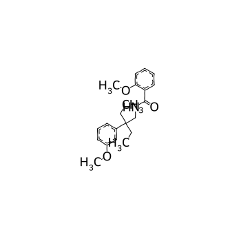 CCC(CC)(CNC(=O)c1ccccc1OC)c1cccc(OC)c1